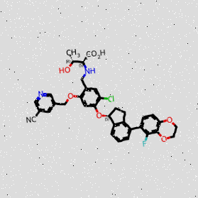 C[C@@H](O)[C@H](NCc1cc(Cl)c(O[C@H]2CCc3c(-c4ccc5c(c4F)OCCO5)cccc32)cc1OCc1cncc(C#N)c1)C(=O)O